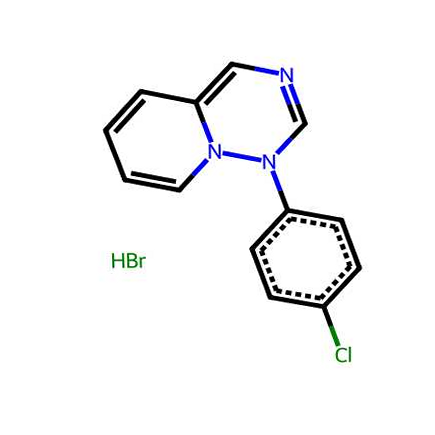 Br.Clc1ccc(N2C=NC=C3C=CC=CN32)cc1